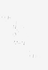 C=C(/C=C\C(=C\OC=O)NC)S(=O)(=O)NC1C=CC=CC1C(=O)O